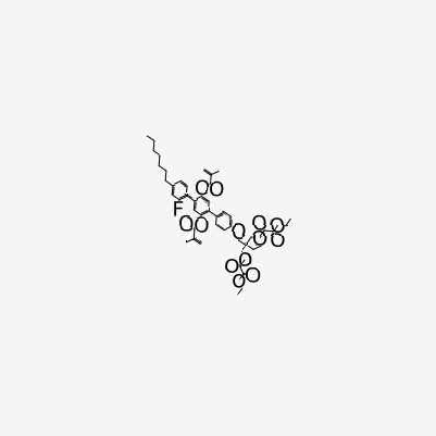 C=C(C)C(=O)Oc1cc(-c2ccc(CCCCCCC)cc2F)c(OC(=O)C(=C)C)cc1-c1ccc(OCC(CC)(COC(=O)C(=O)OCC)COC(=O)C(=O)OCC)cc1